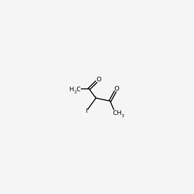 CC(=O)[C](I)C(C)=O